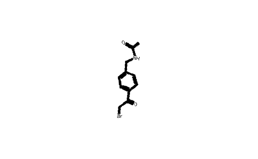 CC(=O)NCc1ccc(C(=O)CBr)cc1